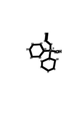 C=CC[Si](O)(C1CCCCC1)C1CCCCC1